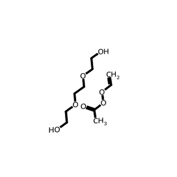 C=COOC(C)=O.OCCOCCOCCO